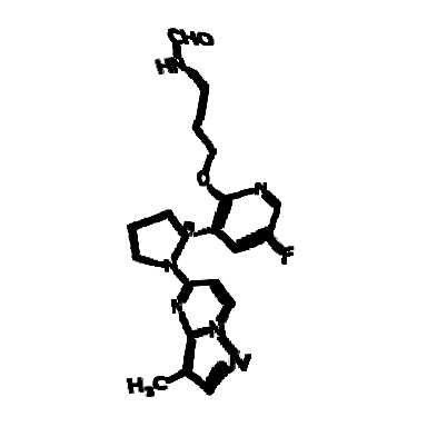 Cc1cnn2ccc(N3CCC[C@@H]3c3cc(F)cnc3OCCCNC=O)nc12